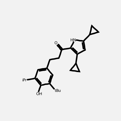 CC(C)c1cc(CCC(=O)c2[nH]c(C3CC3)cc2C2CC2)cc(C(C)(C)C)c1O